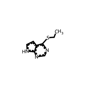 CCSc1ncnc2[nH]ccc12